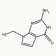 Nc1nc2c(ccn2CS)c(=O)[nH]1